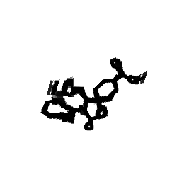 CCC1N(c2ncccn2)C(=O)OC12CCC(C(=O)O)CC2